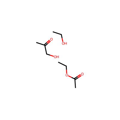 CC(=O)CO.CCO.CCOC(C)=O